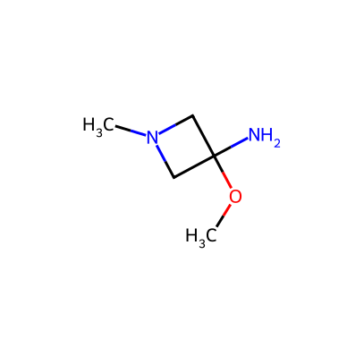 COC1(N)CN(C)C1